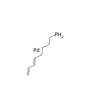 C=CC=CCCCCP.[Pd]